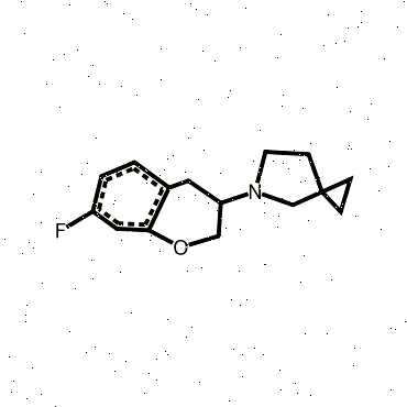 Fc1ccc2c(c1)OCC(N1CCC3(CC3)C1)C2